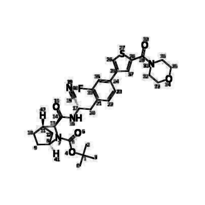 CC(C)(C)OC(=O)N1[C@H]2CC[C@@H](C2)[C@H]1C(=O)N[C@H](C#N)Cc1ccc(-c2csc(C(=O)N3CCOCC3)c2)cc1F